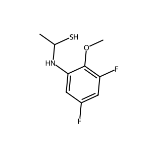 COc1c(F)cc(F)cc1NC(C)S